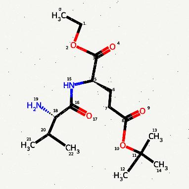 CCOC(=O)[C@@H](CCC(=O)OC(C)(C)C)NC(=O)[C@@H](N)C(C)C